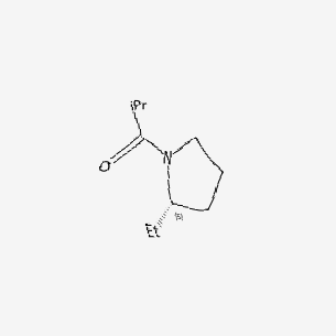 CC[C@H]1CCCN1C(=O)C(C)C